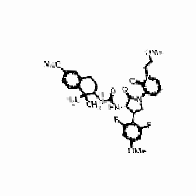 COCCn1cccc(N2C[C@@H](c3c(F)cc(OC)cc3F)[C@H](NC(=O)NC3CCc4cc(OC)ccc4C3(C)C)C2=O)c1=O